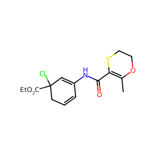 CCOC(=O)C1(Cl)C=C(NC(=O)C2=C(C)OCCS2)C=CC1